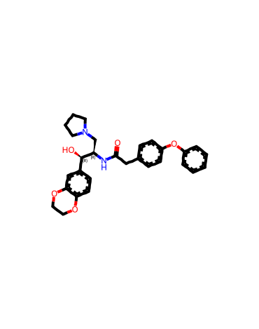 O=C(Cc1ccc(Oc2ccccc2)cc1)N[C@H](CN1CCCC1)[C@H](O)c1ccc2c(c1)OCCO2